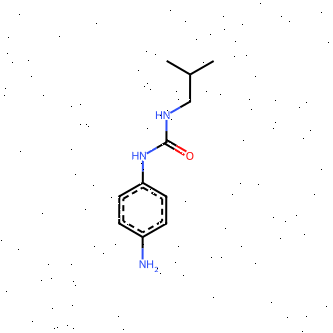 CC(C)CNC(=O)Nc1ccc(N)cc1